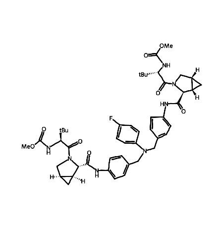 COC(=O)N[C@H](C(=O)N1C[C@@H]2C[C@@H]2[C@H]1C(=O)Nc1ccc(CN(Cc2ccc(NC(=O)[C@@H]3[C@H]4C[C@H]4CN3C(=O)[C@@H](NC(=O)OC)C(C)(C)C)cc2)c2ccc(F)cc2)cc1)C(C)(C)C